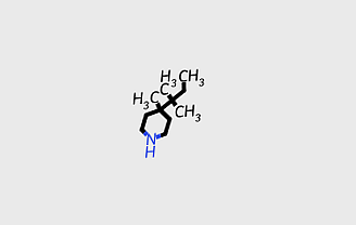 CCC(C)(C)C1(C)CCNCC1